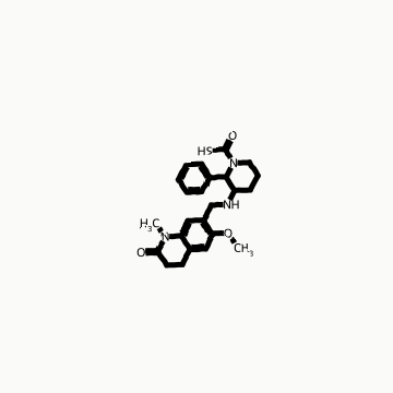 COc1cc2c(cc1CNC1CCCN(C(=O)S)C1c1ccccc1)N(C)C(=O)CC2